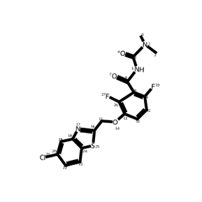 CN(C)C(=O)NC(=O)c1c(F)ccc(OCc2nc3cc(Cl)ccc3s2)c1F